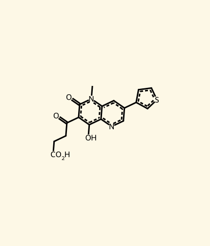 Cn1c(=O)c(C(=O)CCC(=O)O)c(O)c2ncc(-c3ccsc3)cc21